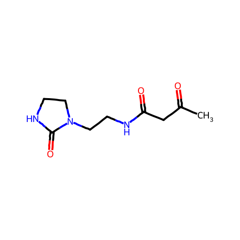 CC(=O)CC(=O)NCCN1CCNC1=O